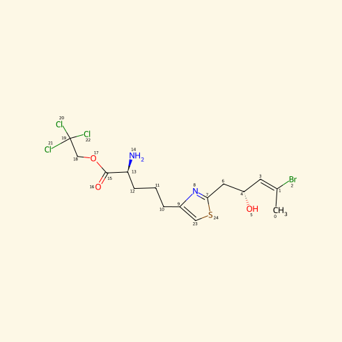 C/C(Br)=C\[C@H](O)Cc1nc(CCC[C@H](N)C(=O)OCC(Cl)(Cl)Cl)cs1